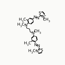 Cc1cc(N(C)CCCN(C)c2ccc(N=Nc3scc[n+]3C)cc2C)ccc1N=Nc1scc[n+]1C